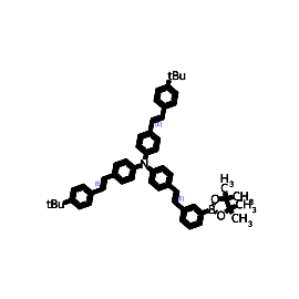 CC(C)(C)c1ccc(/C=C/c2ccc(N(c3ccc(/C=C/c4ccc(C(C)(C)C)cc4)cc3)c3ccc(/C=C/c4cccc(B5OC(C)(C)C(C)(C)O5)c4)cc3)cc2)cc1